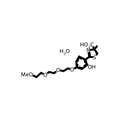 COCCOCCOCCOc1ccc(C2=NC(C)(C(=O)O)CS2)c(O)c1.O